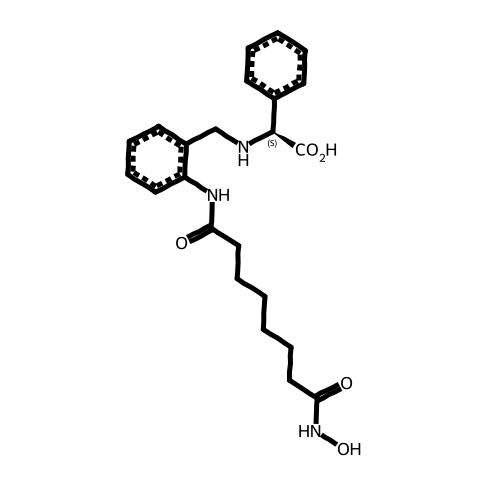 O=C(CCCCCCC(=O)Nc1ccccc1CN[C@H](C(=O)O)c1ccccc1)NO